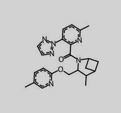 Cc1ccc(OCC2C(C)C3CC(C3)N2C(=O)c2nc(C)ccc2-n2nccn2)nc1